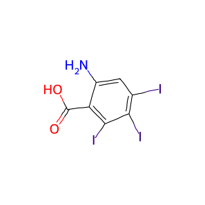 Nc1cc(I)c(I)c(I)c1C(=O)O